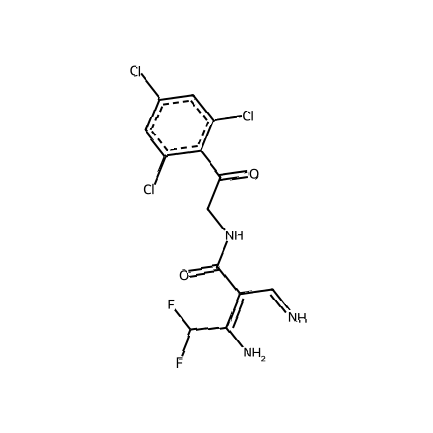 N=C/C(C(=O)NCC(=O)c1c(Cl)cc(Cl)cc1Cl)=C(\N)C(F)F